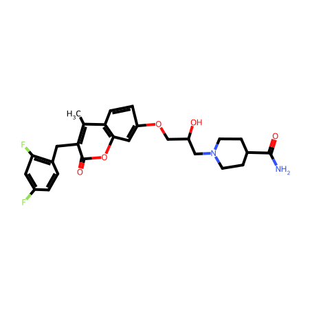 Cc1c(Cc2ccc(F)cc2F)c(=O)oc2cc(OCC(O)CN3CCC(C(N)=O)CC3)ccc12